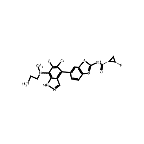 CN(CCN)c1c(F)c(Cl)c(-c2ccc3nc(NC(=O)[C@@H]4C[C@@H]4F)sc3c2)c2cn[nH]c12